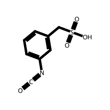 O=C=Nc1cccc(CS(=O)(=O)O)c1